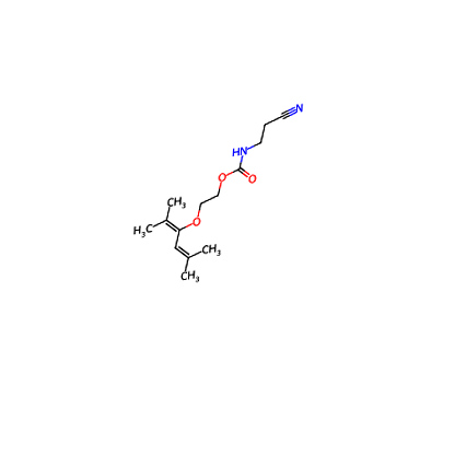 CC(C)=CC(OCCOC(=O)NCCC#N)=C(C)C